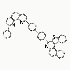 c1ccc(-c2ccc3ccc4ccc(-c5ccc(-c6ccc(-c7nc8ccc9ccccc9c8c8c7sc7ccccc78)cc6)cc5)nc4c3n2)cc1